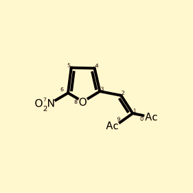 CC(=O)C(=Cc1ccc([N+](=O)[O-])o1)C(C)=O